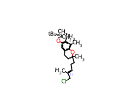 C/C(=C\CCC1(C)CCc2cc(O[Si](C)(C)C(C)(C)C)c(C)c(C)c2O1)CCl